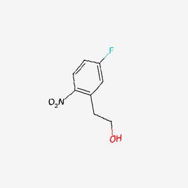 O=[N+]([O-])c1ccc(F)cc1CCO